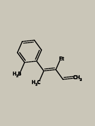 Bc1ccccc1/C(C)=C(/C=C)CC